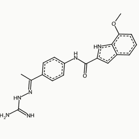 COc1cccc2cc(C(=O)Nc3ccc(C(C)=NNC(=N)N)cc3)[nH]c12